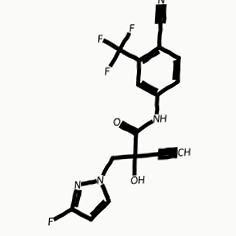 C#CC(O)(Cn1ccc(F)n1)C(=O)Nc1ccc(C#N)c(C(F)(F)F)c1